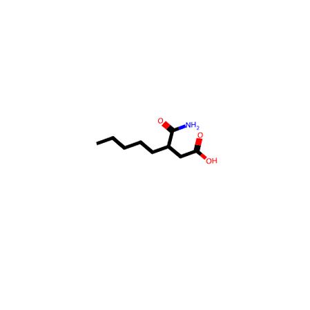 CCCCCC(CC(=O)O)C(N)=O